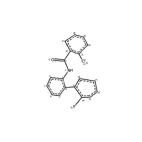 O=C(Nc1ccccc1-c1ccccc1F)c1ccccc1C(F)(F)F